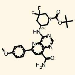 COc1ccc(-c2cc(C(N)=O)c3ncnc(N[C@@H]4CN(C(=O)OC(C)(C)C)CC(F)(F)C4)c3n2)cc1